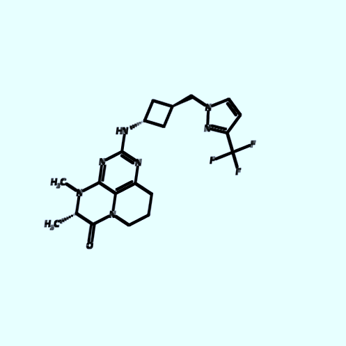 C[C@H]1C(=O)N2CCCc3nc(N[C@H]4C[C@H](Cn5ccc(C(F)(F)F)n5)C4)nc(c32)N1C